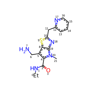 CCNC(=O)c1c(CN)c2sc(Cc3ccccn3)nc2n1C